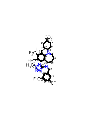 Cc1cc2c(c(C)c1C(F)(F)F)N(C1CCC(C(=O)O)CC1)CCC[C@@H]2N(Cc1cc(C(F)(F)F)cc(C(F)(F)F)c1)c1nnn(C)n1